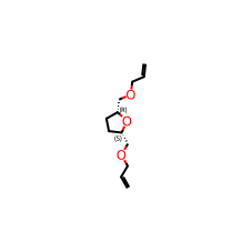 C=CCOC[C@H]1CC[C@@H](COCC=C)O1